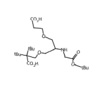 CC(C)(C)OC(=O)CNC(COCCC(=O)O)COCC(C(=O)O)(C(C)(C)C)C(C)(C)C